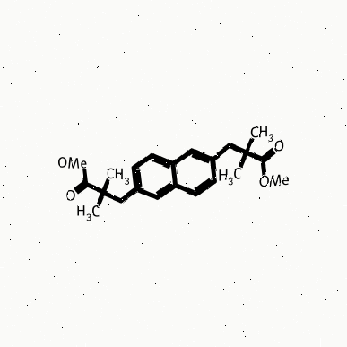 COC(=O)C(C)(C)Cc1ccc2cc(CC(C)(C)C(=O)OC)ccc2c1